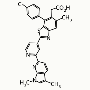 Cc1cc2nc(-c3ccnc(-c4ccc5c(C)cn(C)c5n4)c3)sc2c(-c2ccc(Cl)cc2)c1CC(=O)O